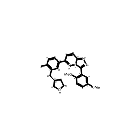 COc1ccc(OC)c(-c2nnc3ccc(-c4ccc(C)c(C[C@H]5CCOC5)c4)nn23)c1